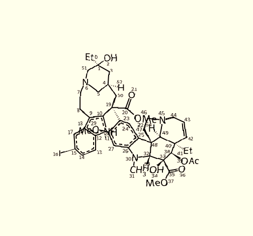 CC[C@]1(O)C[C@@H]2CN(CCc3c([nH]c4ccc(I)cc34)[C@@](C(=O)OC)(c3cc4c(cc3OC)N(C)[C@H]3[C@@](O)(C(=O)OC)[C@H](OC(C)=O)[C@]5(CC)C=CCN6CC[C@]43[C@@H]65)C2)C1